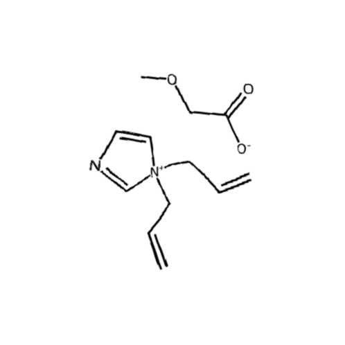 C=CC[N+]1(CC=C)C=CN=C1.COCC(=O)[O-]